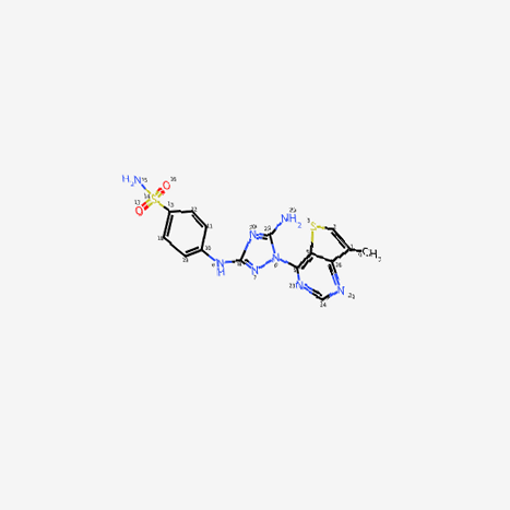 Cc1csc2c(-n3nc(Nc4ccc(S(N)(=O)=O)cc4)nc3N)ncnc12